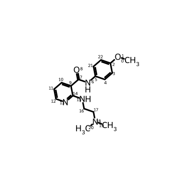 COc1ccc(NC(=O)c2cccnc2NCCN(C)C)cc1